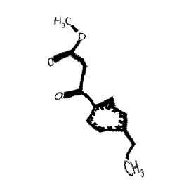 CCc1ccc(C(=O)[CH]C(=O)OC)cc1